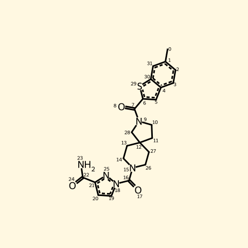 Cc1ccc2cc(C(=O)N3CCC4(CCN(C(=O)n5ccc(C(N)=O)n5)CC4)C3)sc2c1